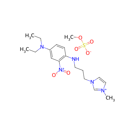 CCN(CC)c1ccc(NCCCn2cc[n+](C)c2)c([N+](=O)[O-])c1.COS(=O)(=O)[O-]